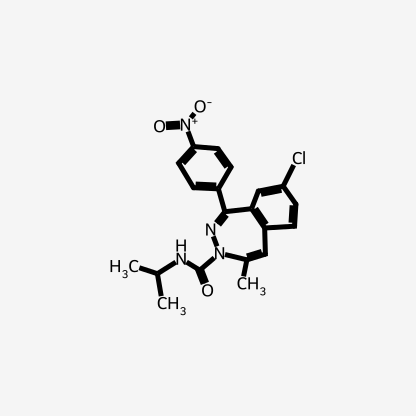 CC1=Cc2ccc(Cl)cc2C(c2ccc([N+](=O)[O-])cc2)=NN1C(=O)NC(C)C